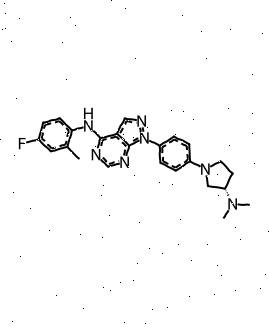 Cc1cc(F)ccc1Nc1ncnc2c1cnn2-c1ccc(N2CC[C@H](N(C)C)C2)cc1